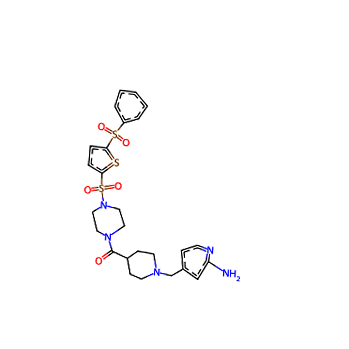 Nc1cc(CN2CCC(C(=O)N3CCN(S(=O)(=O)c4ccc(S(=O)(=O)c5ccccc5)s4)CC3)CC2)ccn1